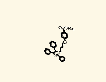 COC(=O)c1ccc(OCCCCn2c(-c3ccccc3)nc(-c3ccccc3)c2-c2ccccc2)cc1